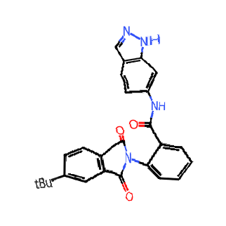 CC(C)(C)c1ccc2c(c1)C(=O)N(c1ccccc1C(=O)Nc1ccc3cn[nH]c3c1)C2=O